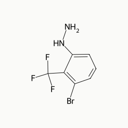 NNc1cccc(Br)c1C(F)(F)F